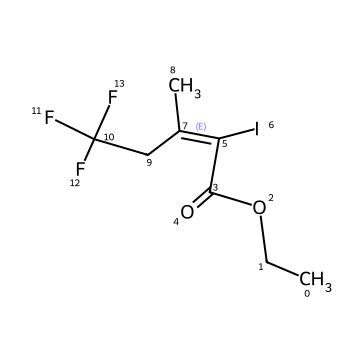 CCOC(=O)/C(I)=C(/C)CC(F)(F)F